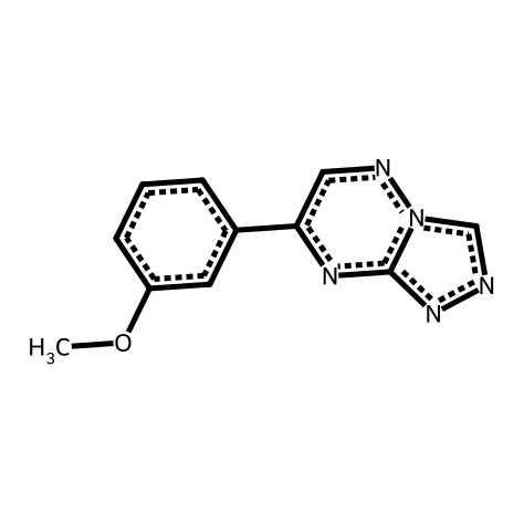 COc1cccc(-c2cnn3cnnc3n2)c1